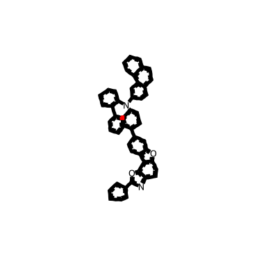 c1ccc(-c2nc3ccc4oc5cc(-c6ccc(N(c7ccc8ccc9ccccc9c8c7)c7ccccc7-c7ccccc7)cc6)ccc5c4c3o2)cc1